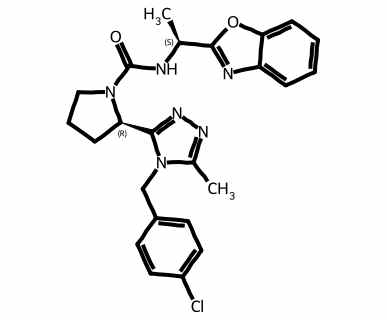 Cc1nnc([C@H]2CCCN2C(=O)N[C@@H](C)c2nc3ccccc3o2)n1Cc1ccc(Cl)cc1